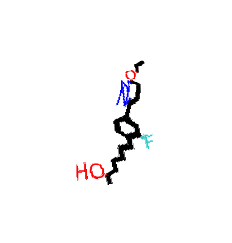 C=CCOc1ccc(-c2ccc(C=CCCCC(C)O)c(F)c2)nn1